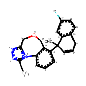 Cc1nnc2n1-c1cccc(C3(C=O)C=CCc4ccc(F)cc43)c1COC2